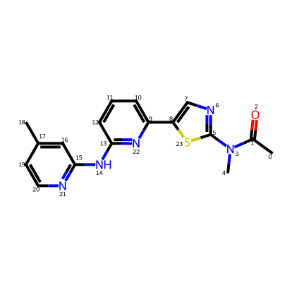 CC(=O)N(C)c1ncc(-c2cccc(Nc3cc(C)ccn3)n2)s1